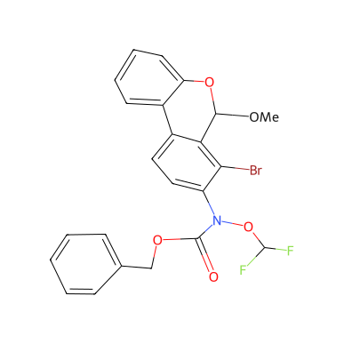 COC1Oc2ccccc2-c2ccc(N(OC(F)F)C(=O)OCc3ccccc3)c(Br)c21